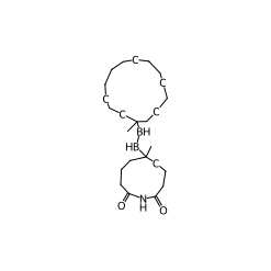 CC1(BBC2(C)CCCC(=O)NC(=O)CCC2)CCCCCCCCCCCCC1